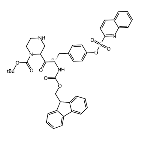 CC(C)(C)OC(=O)N1CCNCC1C(=O)[C@H](Cc1ccc(OS(=O)(=O)c2ccc3ccccc3n2)cc1)NC(=O)OCC1c2ccccc2-c2ccccc21